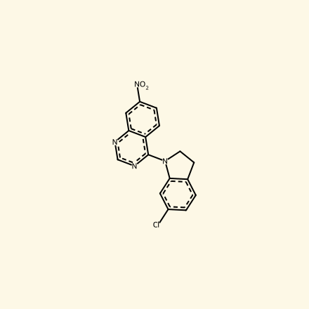 O=[N+]([O-])c1ccc2c(N3CCc4ccc(Cl)cc43)ncnc2c1